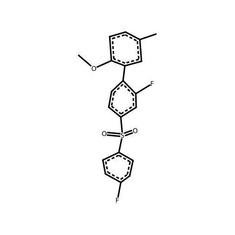 COc1ccc(C)cc1-c1ccc(S(=O)(=O)c2ccc(F)cc2)cc1F